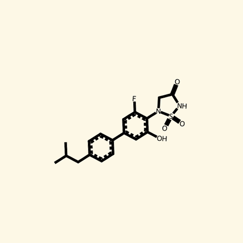 CC(C)Cc1ccc(-c2cc(O)c(N3CC(=O)NS3(=O)=O)c(F)c2)cc1